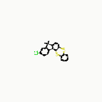 CC1(C)c2cc(Cl)ccc2-c2c1ccc1c2Sc2ccccc2S1